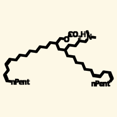 CCCCC/C=C\C/C=C\CCCCCCCCC(COC(=O)O)CC(CCCCCC/C=C\C/C=C\CCCCC)CCCCN(C)C